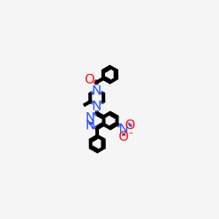 CC1CN(C(=O)c2ccccc2)CCN1c1nnc(-c2ccccc2)c2cc([N+](=O)[O-])ccc12